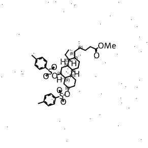 COC(=O)CC[C@@H](C)[C@H]1CC[C@H]2[C@@H]3C[C@H](OS(=O)(=O)c4ccc(C)cc4)[C@@H]4C[C@H](OS(=O)(=O)c5ccc(C)cc5)CC[C@]4(C)[C@H]3CC[C@]12C